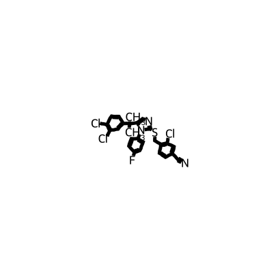 CC(C)(c1ccc(Cl)c(Cl)c1)c1cnc(SCc2ccc(C#N)cc2Cl)n1-c1ccc(F)cc1